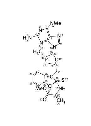 CNc1nc(N)nc2c1ncn2[C@@H]1O[C@H](COP(=S)(N[C@@H](C)C(=O)OC)Oc2ccccc2)C[C@@H]1C